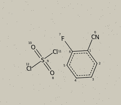 N#Cc1ccccc1F.O=S(=O)(Cl)Cl